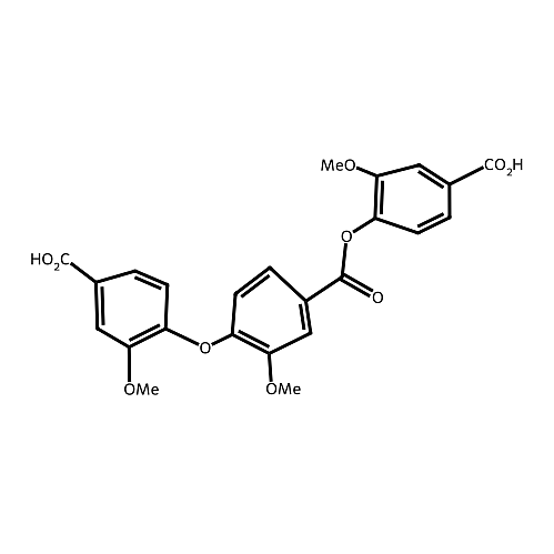 COc1cc(C(=O)O)ccc1OC(=O)c1ccc(Oc2ccc(C(=O)O)cc2OC)c(OC)c1